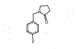 O=C1CCCN1Cc1ccc(F)cc1